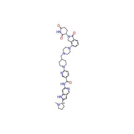 CN1CCC[C@@H]1c1cc2cnc(NC(=O)c3ccc(N4CCC(CN5CCN(c6cccc7c6CN(C6CCC(=O)NC6=O)C7=O)CC5)CC4)nc3)cc2[nH]1